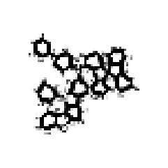 c1ccc(-c2ccc(N(c3ccc4c5ccc6oc7ccccc7c6c5n(-c5ccccc5)c4c3)c3cccc4c3-c3ccccc3C43c4ccccc4-c4ccccc43)cc2)cc1